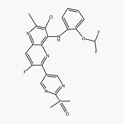 Cc1nc2cc(F)c(-c3cnc(P(C)(C)=O)nc3)nc2c(Nc2ccccc2OC(F)F)c1Cl